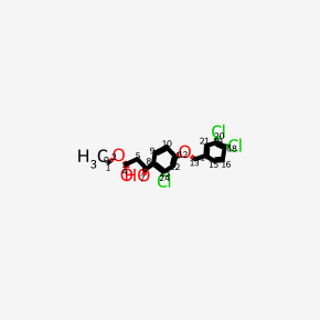 CCOC(=O)CC(O)c1ccc(OCc2ccc(Cl)c(Cl)c2)cc1Cl